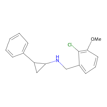 COc1cccc(CNC2CC2c2ccccc2)c1Cl